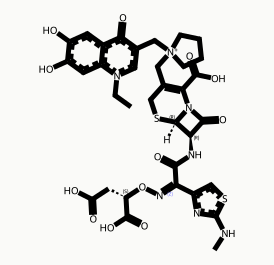 CCn1cc(C[N+]2(CC3=C(C(=O)O)N4C(=O)[C@@H](NC(=O)/C(=N\O[C@@H](CC(=O)O)C(=O)O)c5csc(NC)n5)[C@H]4SC3)CCCC2)c(=O)c2cc(O)c(O)cc21